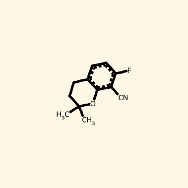 CC1(C)CCc2ccc(F)c(C#N)c2O1